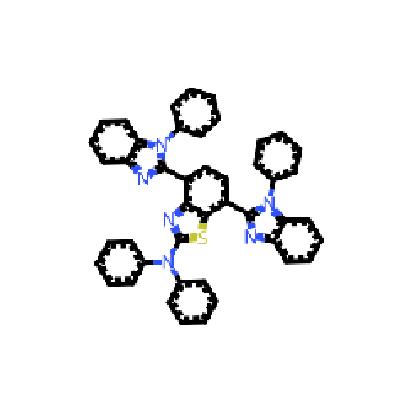 c1ccc(N(c2ccccc2)c2nc3c(-c4nc5ccccc5n4-c4ccccc4)ccc(-c4nc5ccccc5n4-c4ccccc4)c3s2)cc1